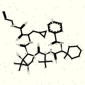 C=CCNC(=O)C(=O)C(CC1CC1)NC(=O)[C@@H]1[C@@H]2[C@H](CN1C(=O)[C@@H](NC(=O)[C@@H](NC(=O)c1ccncc1)C1(C)CCCCC1)C(C)(C)C)C2(C)C